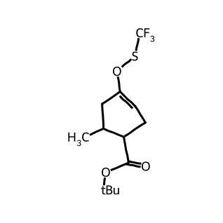 CC1CC(OSC(F)(F)F)=CCC1C(=O)OC(C)(C)C